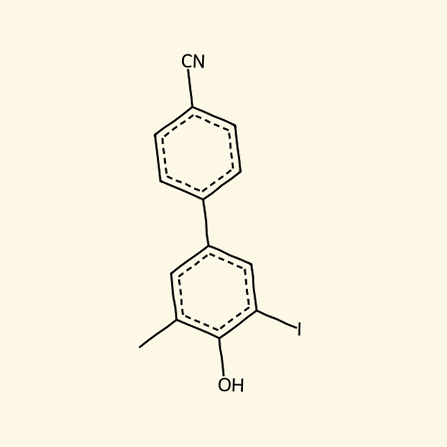 Cc1cc(-c2ccc(C#N)cc2)cc(I)c1O